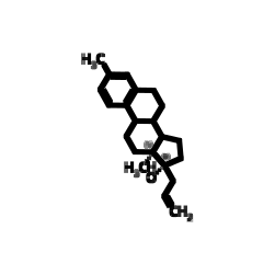 C=CC[C@]1(O)CCC2C3CCc4cc(C)ccc4C3CC[C@@]21C